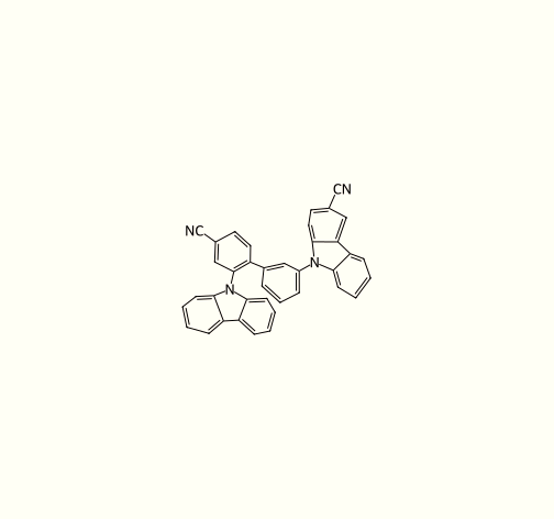 N#Cc1ccc(-c2cccc(-n3c4ccccc4c4cc(C#N)ccc43)c2)c(-n2c3ccccc3c3ccccc32)c1